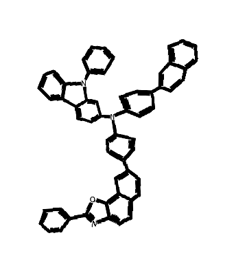 c1ccc(-c2nc3ccc4ccc(-c5ccc(N(c6ccc(-c7ccc8ccccc8c7)cc6)c6ccc7c8ccccc8n(-c8ccccc8)c7c6)cc5)cc4c3o2)cc1